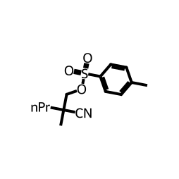 CCCC(C)(C#N)COS(=O)(=O)c1ccc(C)cc1